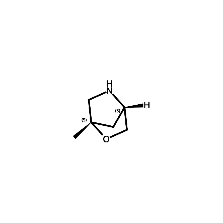 C[C@]12CN[C@H](CO1)C2